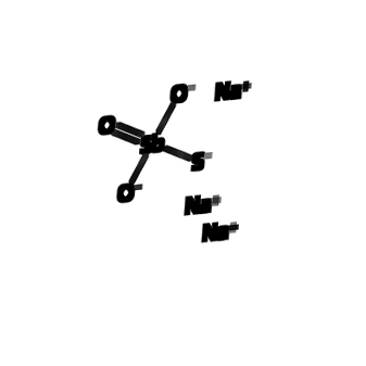 [Na+].[Na+].[Na+].[O]=[Sb]([O-])([O-])[S-]